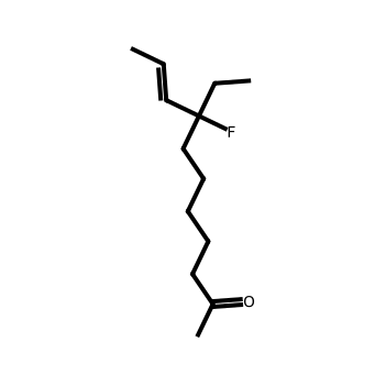 C/C=C/C(F)(CC)CCCCCC(C)=O